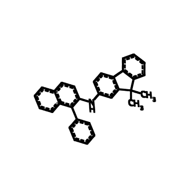 CC1(C)c2ccccc2-c2ccc(Nc3ccc4ccccc4c3-c3ccccc3)cc21